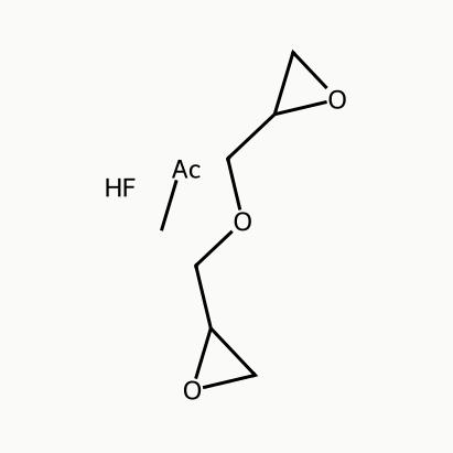 C(OCC1CO1)C1CO1.CC(C)=O.F